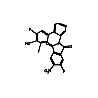 O=C1c2cc(F)c([N+](=O)[O-])cc2C(=O)N1c1ccccc1-c1cc(F)c(O)c(F)c1